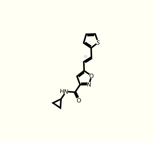 O=C(NC1CC1)c1cc(/C=C/c2cccs2)on1